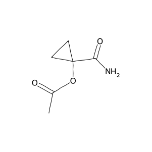 CC(=O)OC1(C(N)=O)CC1